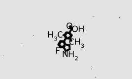 Cc1cc(C(=O)O)cc(C)c1-c1ccc(F)c2c1CC[C@H]2N